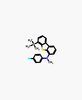 CN(c1ccc(F)cc1)c1cccc2c1sc1c([Si](C)(C)C)cccc12